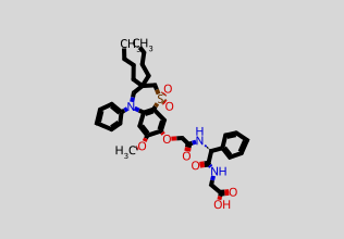 CCCCC1(CCCC)CN(c2ccccc2)c2cc(OC)c(OCC(=O)N[C@@H](C(=O)NCC(=O)O)c3ccccc3)cc2S(=O)(=O)C1